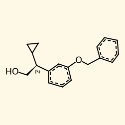 OC[C@H](c1cccc(OCc2ccccc2)c1)C1CC1